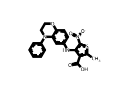 Cc1sc([N+](=O)[O-])c(Nc2ccc3c(c2)N(c2ccccc2)CCO3)c1C(=O)O